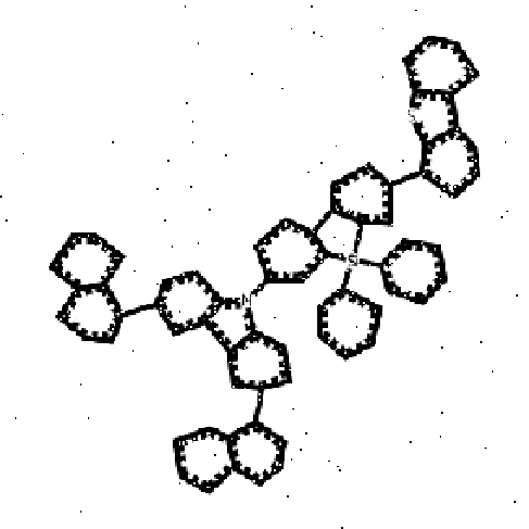 c1ccc([Si]2(c3ccccc3)c3cc(-c4cccc5c4sc4ccccc45)ccc3-c3ccc(-n4c5ccc(-c6cccc7ccccc67)cc5c5cc(-c6cccc7ccccc67)ccc54)cc32)cc1